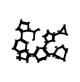 CC(C)n1cnnc1-c1ccc2[nH]nc(-c3ccc(N4CCOCC4)c(-n4cnc(C5CC5)c4)c3)c2c1